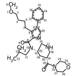 COCCCCc1c(C(=O)N(CC(C)C)[C@@H]2CNC[C@H](C(=O)N3CCOCC3)C2)ncn1-c1ccccc1